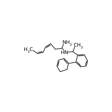 C/C=C\C=C/CC(N)NC(C)c1ccccc1C1=CC=CCC1